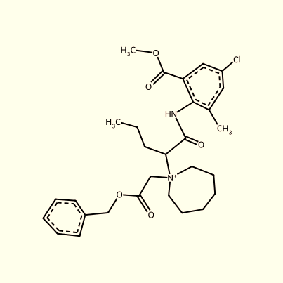 CCCC(C(=O)Nc1c(C)cc(Cl)cc1C(=O)OC)[N+]1(CC(=O)OCc2ccccc2)CCCCCC1